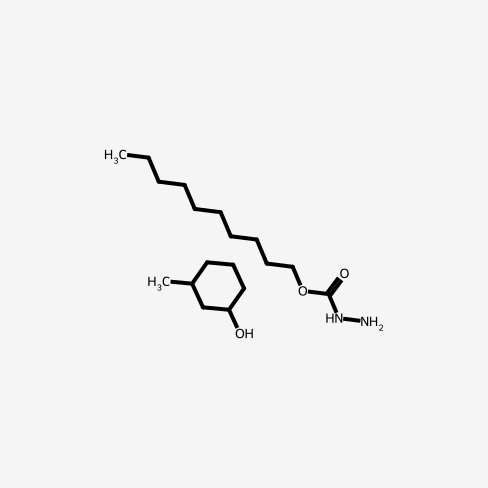 CC1CCCC(O)C1.CCCCCCCCCCOC(=O)NN